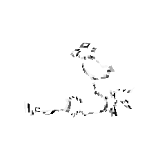 COc1cccc(Cc2nc3n(c2Cc2cccc(OC)c2)CCS3)c1